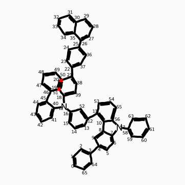 c1ccc(-c2ccc3c(c2)c2c(-c4cccc(N(c5ccc(-c6ccc(-c7cccc8ccccc78)cc6)cc5)c5ccccc5-c5ccccc5)c4)cccc2n3-c2ccccc2)cc1